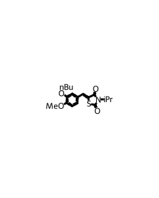 CCCCOc1cc(/C=C2\SC(=O)N(C(C)C)C2=O)ccc1OC